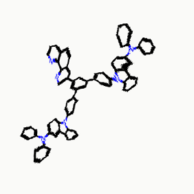 c1ccc(N(c2ccccc2)c2ccc3c(c2)c2ccccc2n3-c2ccc(-c3cc(-c4ccc(-n5c6ccccc6c6cc(N(c7ccccc7)c7ccccc7)ccc65)cc4)cc(-c4cnc5c(ccc6cccnc65)c4)c3)cc2)cc1